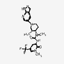 C[C@H]1CN(c2cnc3[nH]ncc3c2)CC[C@H]1N(C)C(=O)Nc1cc(C(F)(F)F)cn(C)c1=O